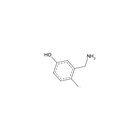 [CH2]c1ccc(O)cc1CN